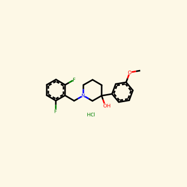 COc1cccc(C2(O)CCCN(Cc3c(F)cccc3F)C2)c1.Cl